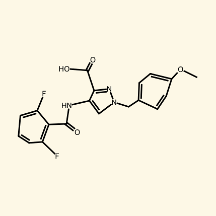 COc1ccc(Cn2cc(NC(=O)c3c(F)cccc3F)c(C(=O)O)n2)cc1